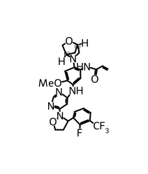 C=CC(=O)Nc1cc(Nc2cc(N3OCCC3c3cccc(C(F)(F)F)c3F)ncn2)c(OC)cc1N1C[C@@H]2C[C@H]1CO2